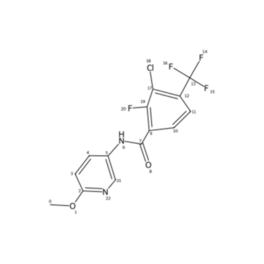 COc1ccc(NC(=O)c2ccc(C(F)(F)F)c(Cl)c2F)cn1